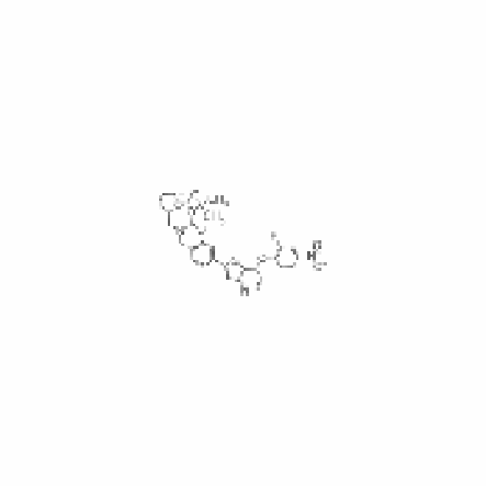 CC(C)(C)OC(=O)N(Cc1ccc(-c2cc3nccc(Oc4ccc([N+](=O)[O-])cc4F)c3s2)cc1)CC1CCCO1